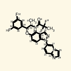 C[C@H](NC(=O)C(C)(F)F)[C@H](Oc1ccc2c(cnn2-c2ccc3nccn3c2)c1)c1cc(F)cc(F)c1